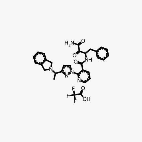 CC(c1ccn(-c2ncccc2C(=O)NC(Cc2ccccc2)C(=O)C(N)=O)n1)N1Cc2ccccc2C1.O=C(O)C(F)(F)F